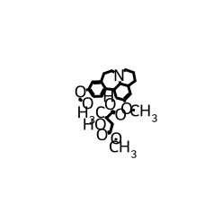 COC(=O)CC(C)(O)C(=O)OC1C(OC)=CC2CCCN3CCc4cc5c(cc4[C@H]1C23)OCO5